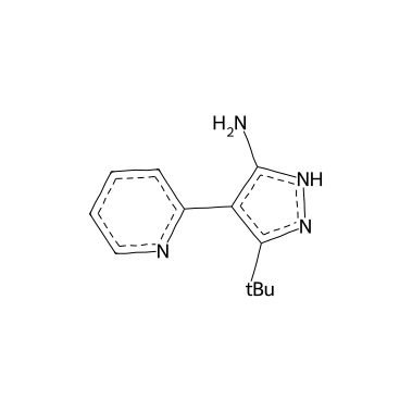 CC(C)(C)c1n[nH]c(N)c1-c1ccccn1